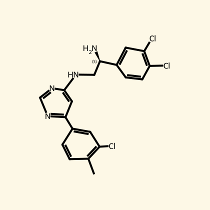 Cc1ccc(-c2cc(NC[C@@H](N)c3ccc(Cl)c(Cl)c3)ncn2)cc1Cl